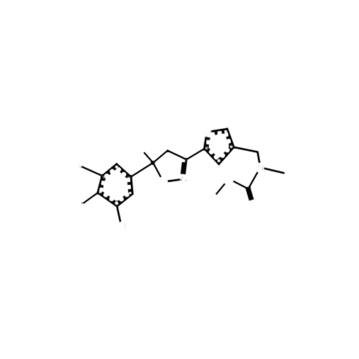 CN(Cc1coc(C2=NOC(c3cc(Cl)c(Cl)c(Cl)c3)(C(F)(F)F)C2)c1)C(=O)OC(C)(C)C